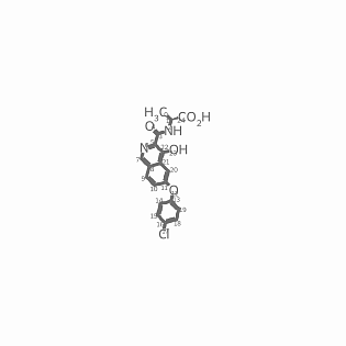 C[C@H](NC(=O)c1ncc2ccc(Oc3ccc(Cl)cc3)cc2c1O)C(=O)O